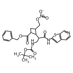 CC(C)(C)OC(=O)NCC(C(=O)Nc1cc2ccncc2s1)C1C(CO[N+](=O)[O-])CC1C(=O)OCc1ccccc1